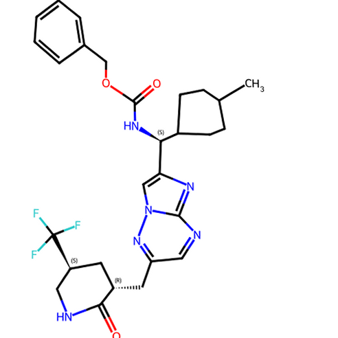 CC1CCC([C@H](NC(=O)OCc2ccccc2)c2cn3nc(C[C@H]4C[C@H](C(F)(F)F)CNC4=O)cnc3n2)CC1